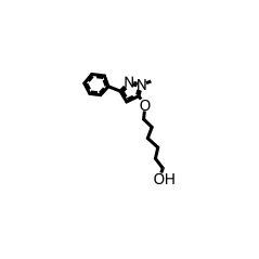 Cn1nc(-c2ccccc2)cc1OCCCCCCO